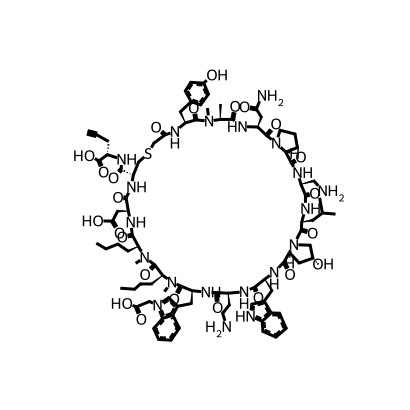 C#CC[C@H](NC(=O)[C@@H]1CSCC(=O)N[C@@H](Cc2ccc(O)cc2)C(=O)N(C)[C@@H](C)C(=O)N[C@@H](CC(N)=O)C(=O)N2CCC[C@H]2C(=O)N[C@@H](CN)C(=O)N[C@@H](CC(C)C)C(=O)N2C[C@H](O)C[C@H]2C(=O)N[C@@H](Cc2c[nH]c3ccccc23)C(=O)N[C@@H](CCN)C(=O)N[C@@H](Cc2cn(CC(=O)O)c3ccccc23)C(=O)N(C)[C@@H](CCCC)C(=O)N(C)[C@@H](CCCC)C(=O)N[C@@H](CC(=O)O)C(=O)N1)C(=O)O